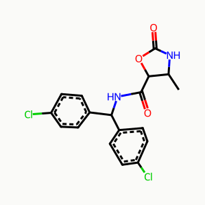 CC1NC(=O)OC1C(=O)NC(c1ccc(Cl)cc1)c1ccc(Cl)cc1